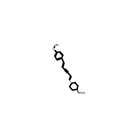 CCCCC[C@H]1CC[C@H](/C=C/C#C/C=C/c2ccc(OCCC)cc2)CC1